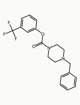 O=C(Oc1cccc(C(F)(F)F)c1)N1CCN(Cc2ccccc2)CC1